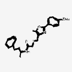 CSc1ccc(-c2nc(CSCC(=O)NC(C)CCc3ccccc3)c(C)o2)cc1